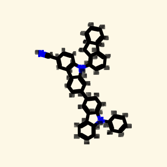 N#Cc1ccc2c(c1)c1ccc(-c3ccc4c(c3)c3ccccc3n4-c3ccccc3)cc1n2-c1cccc2c1Cc1ccccc1-2